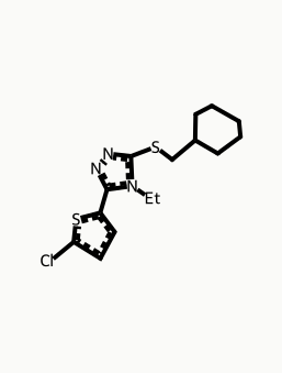 CCn1c(SCC2CCCCC2)nnc1-c1ccc(Cl)s1